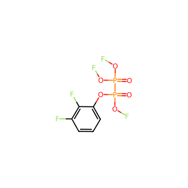 O=P(OF)(OF)P(=O)(OF)Oc1cccc(F)c1F